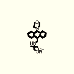 CC(CO)(CO)NCc1c2ccccc2c(N2CCOCC2)c2ccccc12